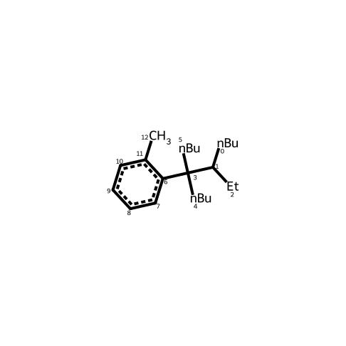 CCCCC(CC)C(CCCC)(CCCC)c1ccccc1C